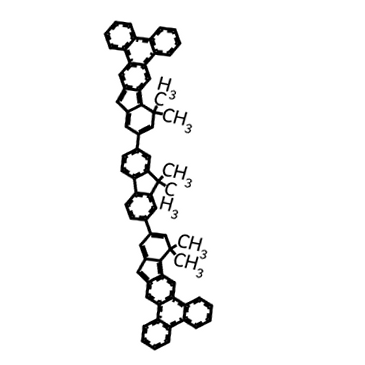 CC1(C)C=C(c2ccc3c(c2)C(C)(C)c2cc(C4=CC(C)(C)C5=c6cc7c8ccccc8c8ccccc8c7cc6=CC5=C4)ccc2-3)C=C2C=c3cc4c5ccccc5c5ccccc5c4cc3=C21